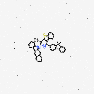 CCC1=C(n2c3ccccc3c3cc4ccccc4cc32)N(C)C(c2ccc3c(c2)C(C)(C)c2ccccc2-3)c2c1sc1ccccc21